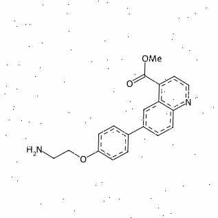 COC(=O)c1ccnc2ccc(-c3ccc(OCCN)cc3)cc12